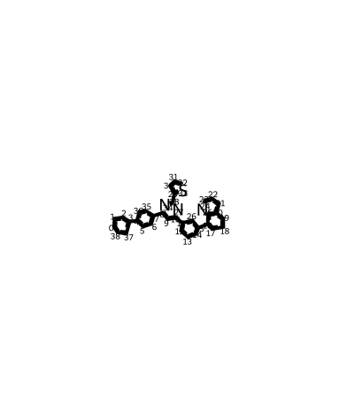 c1ccc(-c2ccc(-c3cc(-c4cccc(-c5cccc6cccnc56)c4)nc(-c4cccs4)n3)cc2)cc1